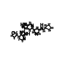 c1cc(-c2ccoc2)c2nc(-c3n[nH]c4cnc(-c5cncc(NCC6CCCC6)c5)cc34)[nH]c2n1